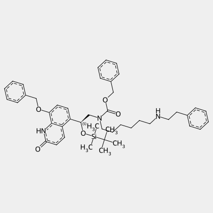 CC(C)(C)[Si](C)(C)O[C@H](CN(CCCCCCNCCc1ccccc1)C(=O)OCc1ccccc1)c1ccc(OCc2ccccc2)c2[nH]c(=O)ccc12